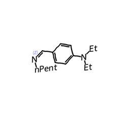 CCCCC/N=C\c1ccc(N(CC)CC)cc1